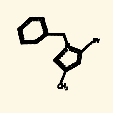 Cc1cc(C(C)C)n(Cc2ccccc2)c1